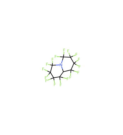 FC1(F)C2N(C(F)(F)C(F)(F)C1(F)F)C(F)(F)C(F)(F)C(F)(F)C2(F)F